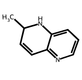 CC1C=Cc2ncccc2N1